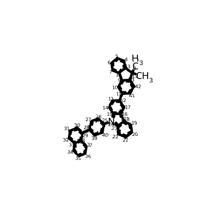 CC1(C)c2ccccc2-c2cc(-c3ccc4c(c3)c3ccccc3n4-c3ccc(-c4cccc5ccccc45)cc3)ccc21